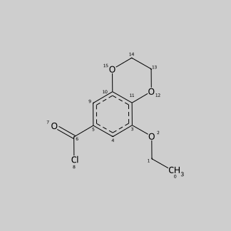 CCOc1cc(C(=O)Cl)cc2c1OCCO2